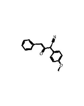 COc1ccc(C(C#N)C(=O)Cc2ccccc2)cc1